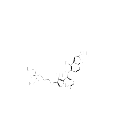 CCOP(=O)(CCCOc1cn2ncnc(Oc3ccc4c(c3F)=CC(C)N=4)c2c1C)OCC